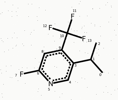 CC(C)c1cnc(F)cc1C(F)(F)F